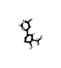 Cc1cc(-c2ccc(F)c(C(F)F)c2)ncn1